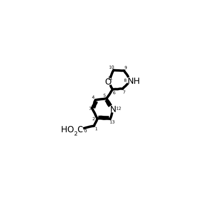 O=C(O)Cc1ccc(C2CNCCO2)nc1